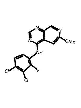 COc1cc2c(Nc3ccc(Cl)c(Cl)c3F)ncnc2cn1